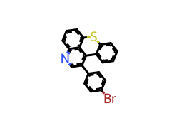 Brc1ccc(-c2cnc3cccc4c3c2-c2ccccc2S4)cc1